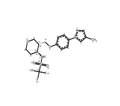 Cc1cnn(-c2ccc(OC[C@H]3COCC[C@@H]3NS(=O)(=O)C(F)(F)F)cc2)c1